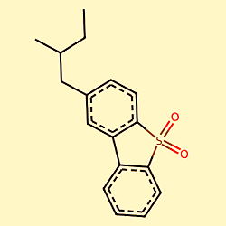 CCC(C)Cc1ccc2c(c1)-c1ccccc1S2(=O)=O